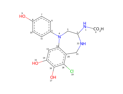 O=C(O)NC1CN(c2ccc(O)cc2)c2cc(O)c(O)c(Cl)c2CN1